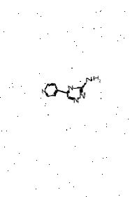 Nc1nncc(-c2ccncc2)n1